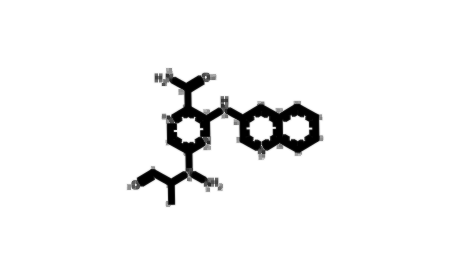 CC(C=O)N(N)c1cnc(C(N)=O)c(Nc2cnc3ccccc3c2)n1